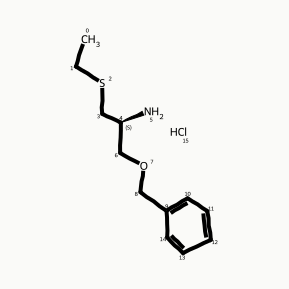 CCSC[C@@H](N)COCc1ccccc1.Cl